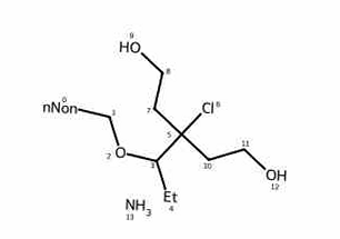 CCCCCCCCCCOC(CC)C(Cl)(CCO)CCO.N